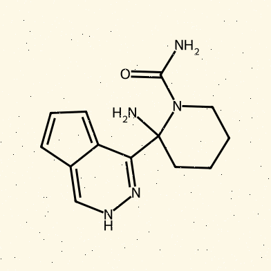 NC(=O)N1CCCCC1(N)c1n[nH]cc2cccc1-2